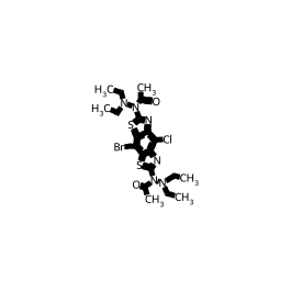 CCN(CC)N(C(C)=O)c1nc2c(Cl)c3nc(N(C(C)=O)N(CC)CC)sc3c(Br)c2s1